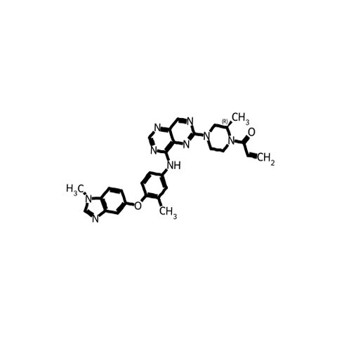 C=CC(=O)N1CCN(c2ncc3ncnc(Nc4ccc(Oc5ccc6c(c5)ncn6C)c(C)c4)c3n2)C[C@H]1C